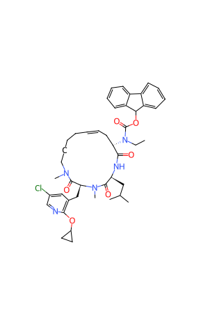 CCN(C(=O)OC1c2ccccc2-c2ccccc21)[C@H]1C/C=C\CCCCN(C)C(=O)[C@H](Cc2cc(Cl)cnc2OC2CC2)N(C)C(=O)[C@H](CC(C)C)NC1=O